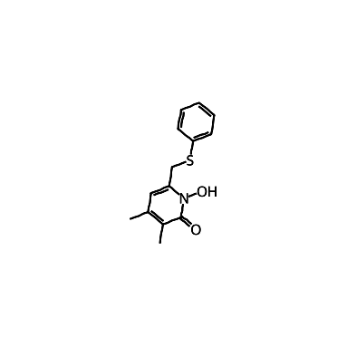 Cc1cc(CSc2ccccc2)n(O)c(=O)c1C